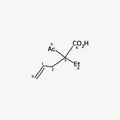 C=CCC(CC)(C(C)=O)C(=O)O